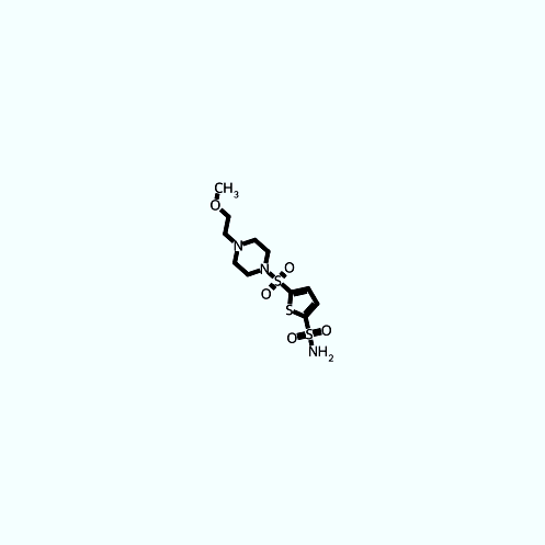 COCCN1CCN(S(=O)(=O)c2ccc(S(N)(=O)=O)s2)CC1